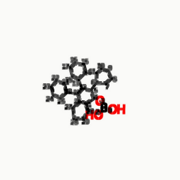 OB(O)Oc1c(-c2ccccc2)c(-c2ccccc2)c(-c2ccccc2)c2ccccc12